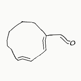 O=CC1=CC=CCCCC1